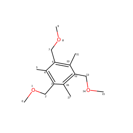 COCc1c(C)c(COC)c(C)c(COC)c1C